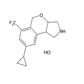 Cl.FC(F)(F)c1cc(C2CC2)cc2c1COC1CNCC21